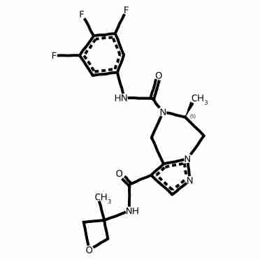 C[C@H]1Cn2ncc(C(=O)NC3(C)COC3)c2CN1C(=O)Nc1cc(F)c(F)c(F)c1